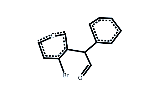 O=CC(c1ccccc1)c1ccccc1Br